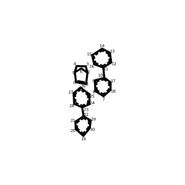 C1=CC2CCC1C2.c1ccc(-c2ccccc2)cc1.c1ccc(-c2ccccc2)cc1